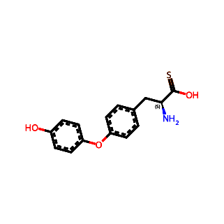 N[C@@H](Cc1ccc(Oc2ccc(O)cc2)cc1)C(O)=S